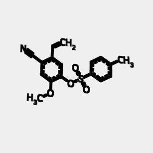 C=Cc1cc(OS(=O)(=O)c2ccc(C)cc2)c(OC)cc1C#N